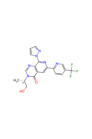 C[C@@H](CO)n1cnc2c(-n3cccn3)nc(-c3ccc(C(F)(F)F)cn3)cc2c1=O